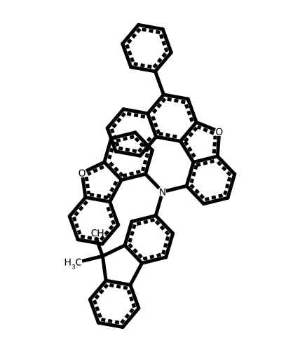 CC1(C)c2ccccc2-c2ccc(N(c3cccc4oc5ccccc5c34)c3cccc4oc5cc(-c6ccccc6)c6ccccc6c5c34)cc21